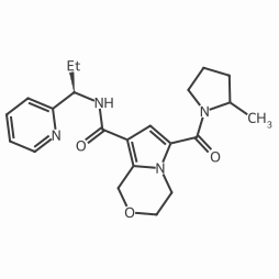 CC[C@@H](NC(=O)c1cc(C(=O)N2CCCC2C)n2c1COCC2)c1ccccn1